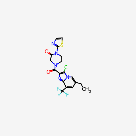 CCc1cc(C(F)(F)F)c2nc(C(=O)N3CCN(c4nccs4)C(=O)C3)c(Cl)n2c1